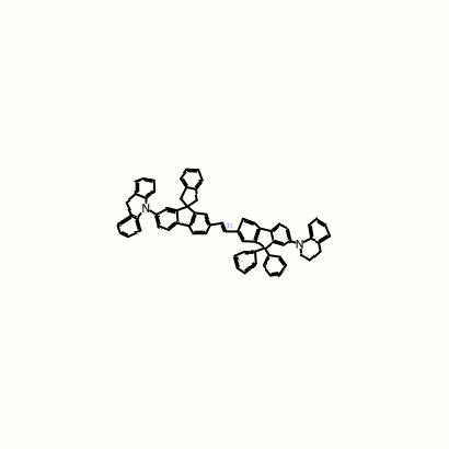 C(=C\c1ccc2c(c1)C(c1ccccc1)(c1ccccc1)c1cc(N3CCCc4ccccc43)ccc1-2)/c1ccc2c(c1)C1(Cc3ccccc3C1)c1cc(N3c4ccccc4Cc4ccccc43)ccc1-2